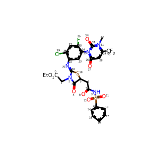 CCOC(=O)CN1C(=O)C(CC(=O)NS(=O)(=O)c2ccccc2)SC1=Nc1cc(-n2c(=O)cc(C(F)(F)F)n(C)c2=O)c(F)cc1Cl